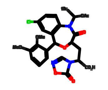 COc1cccc(C2OC(CC(C(=O)O)n3cnoc3=O)C(=O)N(C(OC(C)=O)C(C)(C)C)c3ccc(Cl)cc32)c1OC